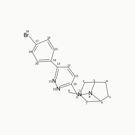 CN1CC2CCC(C1)N2Cc1ccc(-c2ccc(Br)cc2)nn1